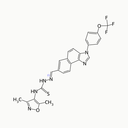 Cc1noc(C)c1NC(=S)N/N=C/c1ccc2c(ccc3c2ncn3-c2ccc(OC(F)(F)F)cc2)c1